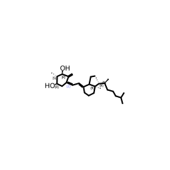 C=C1/C(=C\C=C2CCC[C@@]3(C)C2CC[C@@H]3[C@@H](C)CCCC(C)C)C[C@@H](O)[C@H](C)[C@H]1O